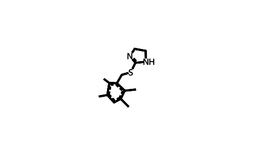 Cc1cc(C)c(C)c(CSC2=NCCN2)c1C